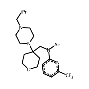 CC(=O)N(CC1(N2CCN(CC(C)C)CC2)CCOCC1)c1cccc(C(F)(F)F)n1